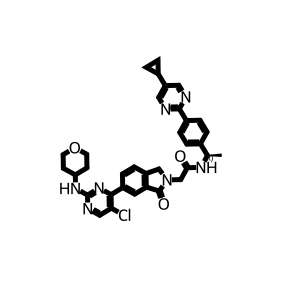 C[C@@H](NC(=O)CN1Cc2ccc(-c3nc(NC4CCOCC4)ncc3Cl)cc2C1=O)c1ccc(-c2ncc(C3CC3)cn2)cc1